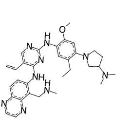 C=Cc1cnc(Nc2cc(CC)c(N3CCC(N(C)C)C3)cc2OC)nc1Nc1ccc2nccnc2c1CNC